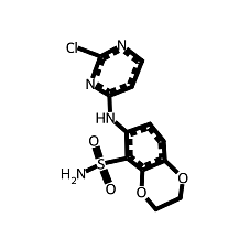 NS(=O)(=O)c1c(Nc2ccnc(Cl)n2)ccc2c1OCCO2